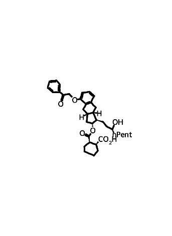 CCCCC[C@H](O)CC[C@@H]1[C@H]2Cc3cccc(OCC(=O)c4ccccc4)c3C[C@H]2C[C@H]1OC(=O)[C@@H]1CCCC[C@@H]1C(=O)O